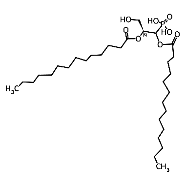 CCCCCCCCCCCCCC(=O)OC([C@H](CO)OC(=O)CCCCCCCCCCCCC)P(=O)(O)O